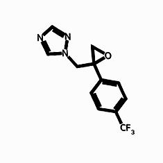 FC(F)(F)c1ccc(C2(Cn3cncn3)CO2)cc1